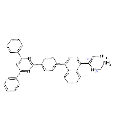 C/C=C(\N=C/N)c1ccc(-c2ccc(-c3nc(-c4ccccc4)nc(-c4ccccc4)n3)cc2)c2ccccc12